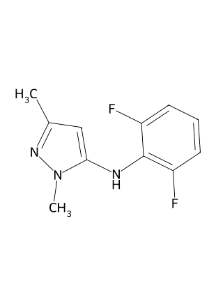 Cc1cc(Nc2c(F)cccc2F)n(C)n1